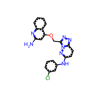 Nc1cc(OCc2nnc3ccc(Nc4cccc(Cl)c4)nn23)c2ccccc2n1